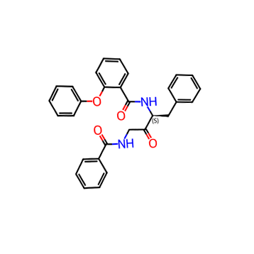 O=C(NCC(=O)[C@H](Cc1ccccc1)NC(=O)c1ccccc1Oc1ccccc1)c1ccccc1